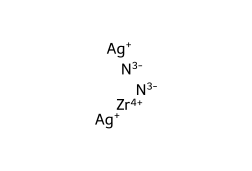 [Ag+].[Ag+].[N-3].[N-3].[Zr+4]